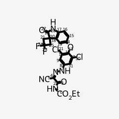 CCOC(=O)NC(=O)C(C#N)=NNc1cc(Cl)c(Oc2ccc3c(c2)C2(CC(F)(F)C2)C(=O)N3)c(Cl)c1